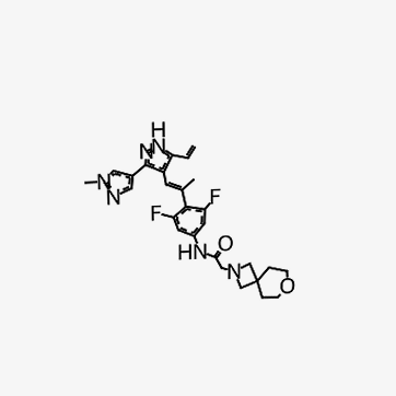 C=Cc1[nH]nc(-c2cnn(C)c2)c1/C=C(\C)c1c(F)cc(NC(=O)CN2CC3(CCOCC3)C2)cc1F